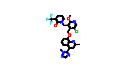 COc1ncc(Cl)c(COc2cccc3c(-c4ncnn4C)cc(C)nc23)c1Cn1cccc(C(F)(F)F)c1=O